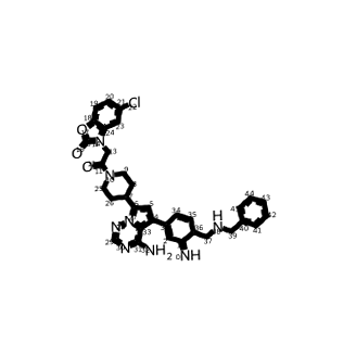 N=C1C=C(c2cc(C3CCN(C(=O)Cn4c(=O)oc5ccc(Cl)cc54)CC3)n3ncnc(N)c23)C=CC1CNCc1ccccc1